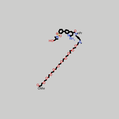 CCCN(CC#CCN(C)CCOCCOCCOCCOCCOCCOCCOCCOCCOCCOCCC(=O)OC)C(=O)C1=Cc2ccc(-c3cccc(S(=O)(=O)N4CC(CO)C4)c3)cc2N=C(N)C1